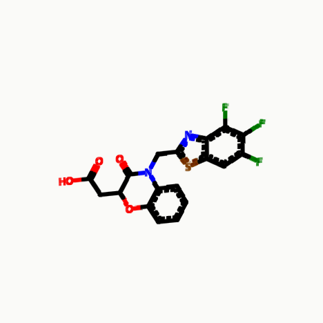 O=C(O)CC1Oc2ccccc2N(Cc2nc3c(F)c(F)c(F)cc3s2)C1=O